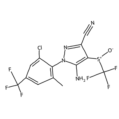 Cc1cc(C(F)(F)F)cc(Cl)c1-n1nc(C#N)c([S+]([O-])C(F)(F)F)c1N